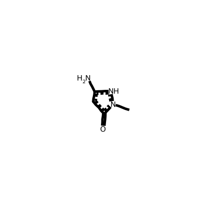 Cn1[nH]c(N)cc1=O